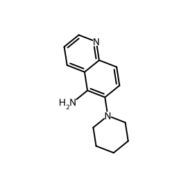 Nc1c(N2CCCCC2)ccc2ncccc12